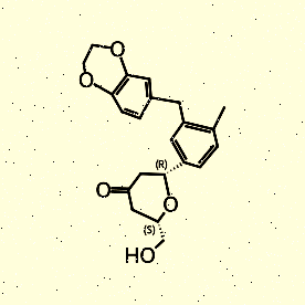 Cc1ccc([C@H]2CC(=O)C[C@@H](CO)O2)cc1Cc1ccc2c(c1)OCCO2